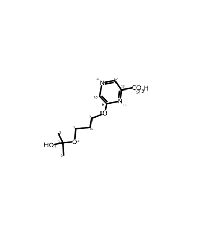 CC(C)(O)OCCCOc1cncc(C(=O)O)n1